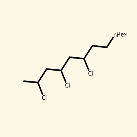 CCCCCCCCC(Cl)CC(Cl)CC(C)Cl